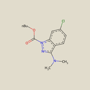 CCCCOC(=O)n1nc(N(C)C)c2ccc(Cl)cc21